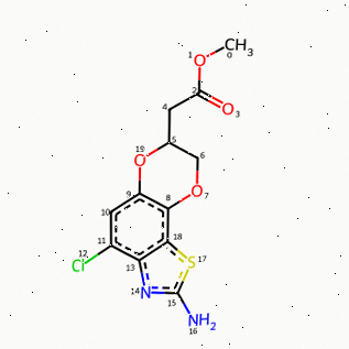 COC(=O)CC1COc2c(cc(Cl)c3nc(N)sc23)O1